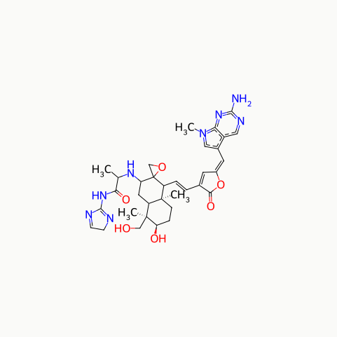 CC(NC1CC2[C@](C)(CC[C@@H](O)[C@@]2(C)CO)C(/C=C/C2=CC(=C\c3cn(C)c4nc(N)ncc34)/OC2=O)C12CO2)C(=O)NC1=NCC=N1